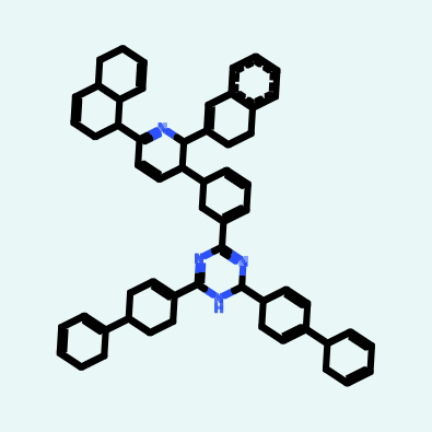 C1=CCCC(C2CC=C(C3=NC(C4=CC=CC(C5C=CC(C6CC=CC7CCC=CC76)=NC5C5=Cc6ccccc6CC5)C4)=NC(C4C=CC(C5C=CC=CC5)=CC4)N3)CC2)=C1